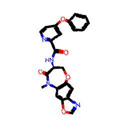 CN1C(=O)[C@@H](NC(=O)c2cc(Oc3ccccc3)ccn2)COc2cc3ncoc3cc21